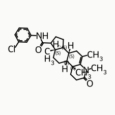 CC1=C2N(C)C(=O)CC[C@]2(C)[C@@H]2CC[C@]3(C)C(C(=O)Nc4cccc(Cl)c4)CC[C@H]3[C@@H]2C1